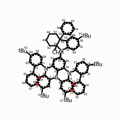 CC(C)(C)c1ccc2c(c1)B1c3cc(C(C)(C)C)ccc3N(c3ccc(C(C)(C)C)cc3-c3ccccc3)c3cc(N4c5ccc(C(C)(C)C)cc5C5(c6ccccc6)CCCCC45C)cc(c31)N2c1ccc(C(C)(C)C)cc1-c1ccccc1